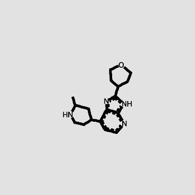 CC1CC(c2ccnc3[nH]c(C4CCOCC4)nc23)CCN1